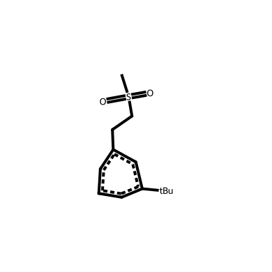 CC(C)(C)c1cccc(CCS(C)(=O)=O)c1